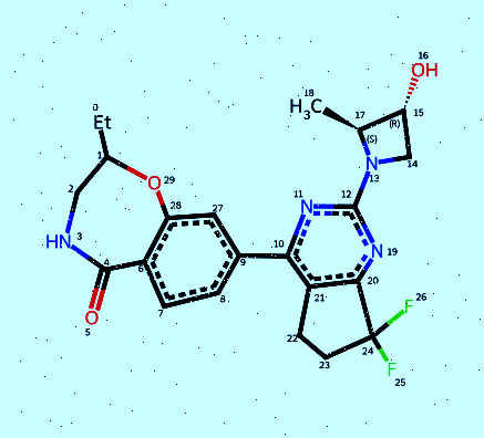 CCC1CNC(=O)c2ccc(-c3nc(N4C[C@@H](O)[C@@H]4C)nc4c3CCC4(F)F)cc2O1